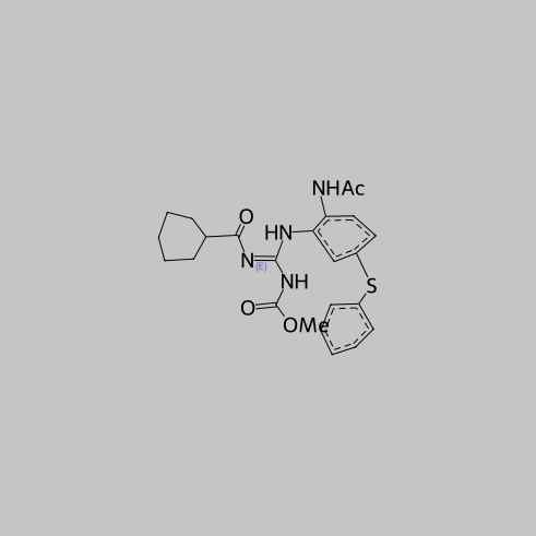 COC(=O)N/C(=N/C(=O)C1CCCCC1)Nc1cc(Sc2ccccc2)ccc1NC(C)=O